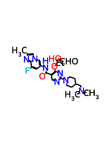 CCOc1nc(N2CCC(CN(C)C)CC2)ncc1C(=O)Nc1cc(F)c2nc(C)cn2c1.O=CO